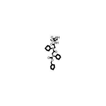 COC1(NC(=O)CN(C(=O)CN(C(=O)OCc2ccccc2)c2ccccc2)c2ccccc2)CNC1=O